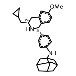 COc1ccc2c(c1)C[C@H](CC1CC1)N[C@H]2c1ccc(NC23CC4CC(CC(C4)C2)C3)cc1